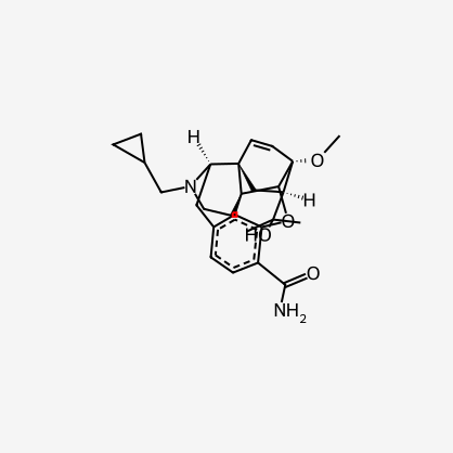 CO[C@@]12C=C[C@@]3(C[C@@H]1C(C)(C)O)[C@H]1Cc4ccc(C(N)=O)c5c4[C@@]3(CCN1CC1CC1)C2O5